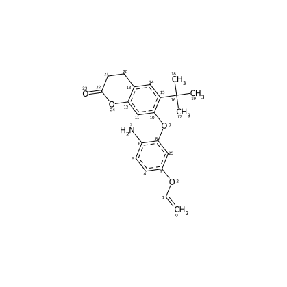 C=COc1ccc(N)c(Oc2cc3c(cc2C(C)(C)C)CCC(=O)O3)c1